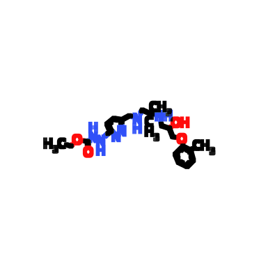 CCOC(=O)NNc1ccc(CNCC(C)(C)NCC(O)COc2ccccc2C)nn1